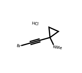 CNC1(C#CBr)CC1.Cl